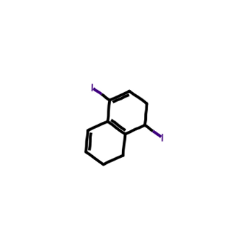 IC1=CCC(I)C2=C1C=CCC2